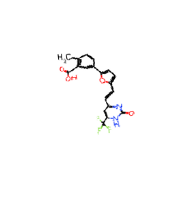 Cc1ccc(-c2ccc(C=Cc3cc(C(F)(F)F)[nH]c(=O)n3)o2)cc1C(=O)O